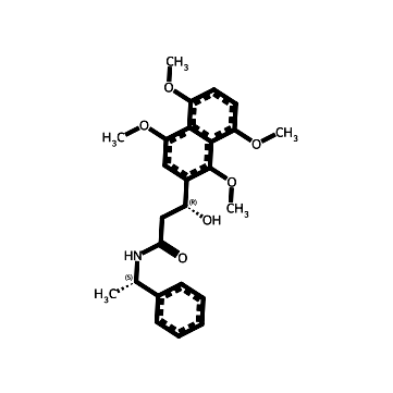 COc1ccc(OC)c2c(OC)c([C@H](O)CC(=O)N[C@@H](C)c3ccccc3)cc(OC)c12